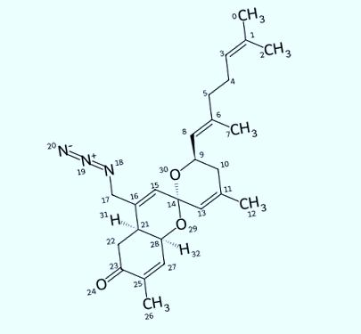 CC(C)=CCC/C(C)=C/[C@H]1CC(C)=C[C@@]2(C=C(CN=[N+]=[N-])[C@@H]3CC(=O)C(C)=C[C@@H]3O2)O1